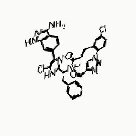 Nc1n[nH]c2cc(-c3nc([C@H](Cc4ccccc4)NC(=O)/C=C/c4cc(Cl)ccc4-n4cc(C=O)nn4)[nH]c3Cl)ccc12